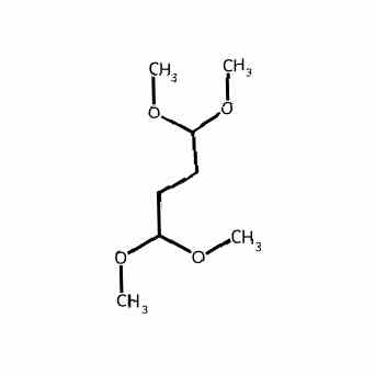 COC(CCC(OC)OC)OC